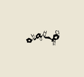 O=C(NCCc1c[nH]c2ccc(Cl)cc12)c1cccc(CNC2CCCC2)c1